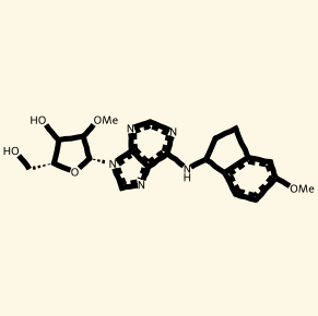 COc1ccc2c(c1)CCC2Nc1ncnc2c1ncn2[C@@H]1O[C@H](CO)C(O)C1OC